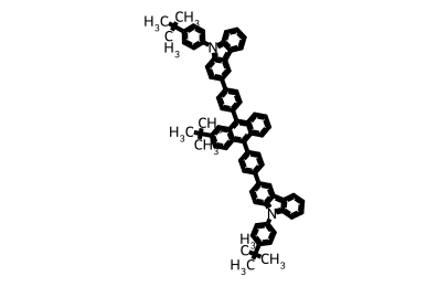 CC(C)(C)c1ccc(-n2c3ccccc3c3cc(-c4ccc(-c5c6ccccc6c(-c6ccc(-c7ccc8c(c7)c7ccccc7n8-c7ccc(C(C)(C)C)cc7)cc6)c6cc(C(C)(C)C)ccc56)cc4)ccc32)cc1